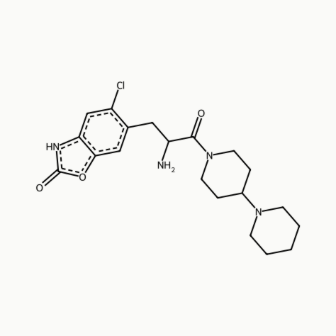 NC(Cc1cc2oc(=O)[nH]c2cc1Cl)C(=O)N1CCC(N2CCCCC2)CC1